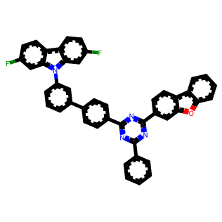 Fc1ccc2c3ccc(F)cc3n(-c3cccc(-c4ccc(-c5nc(-c6ccccc6)nc(-c6ccc7c(c6)oc6ccccc67)n5)cc4)c3)c2c1